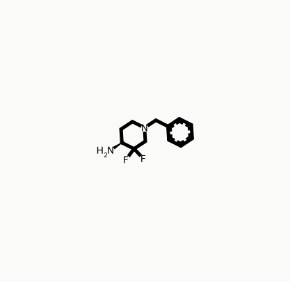 N[C@H]1CCN(Cc2ccccc2)CC1(F)F